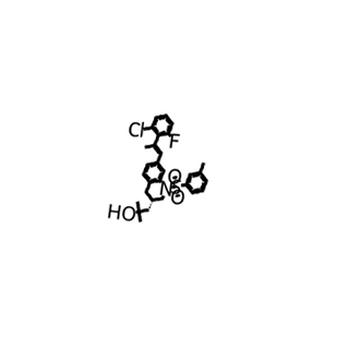 C/C(=C\c1ccc2c(c1)N(S(=O)(=O)c1cccc(C)c1)C[C@H](CC(C)(C)O)C2)c1c(F)cccc1Cl